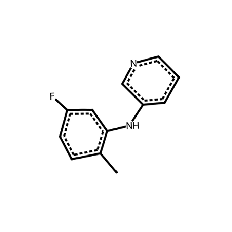 Cc1ccc(F)cc1Nc1cccnc1